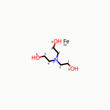 OCCN(CCO)CCO.[Fe]